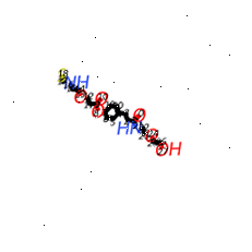 O=C(CCc1ccc(OC(=O)CCOCCNC=S)cc1)NCCOCCO